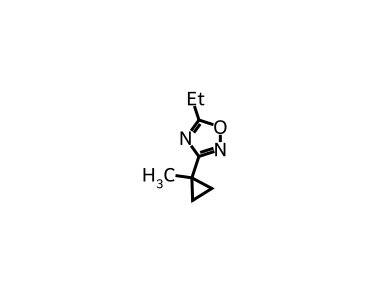 CCc1nc(C2(C)CC2)no1